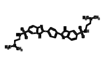 CN(C)CCNS(=O)(=O)c1ccc2nc(-c3ccc(-c4nc5ccc(S(=O)(=O)NCCN(C)C)cc5[nH]4)cc3)[nH]c2c1